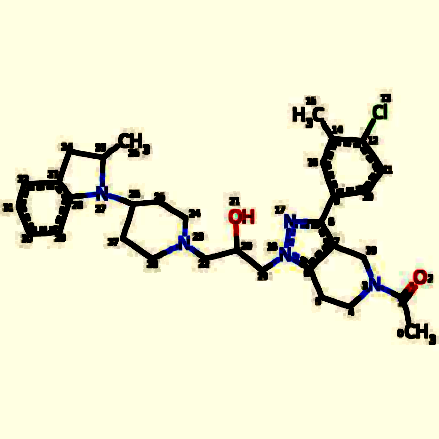 CC(=O)N1CCc2c(c(-c3ccc(Cl)c(C)c3)nn2CC(O)CN2CCC(N3c4ccccc4CC3C)CC2)C1